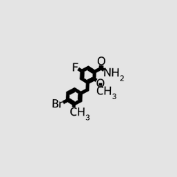 COc1c(Cc2ccc(Br)c(C)c2)cc(F)cc1C(N)=O